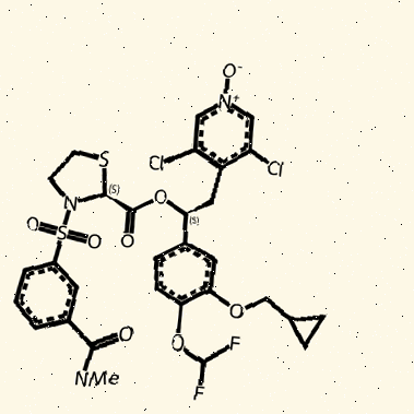 CNC(=O)c1cccc(S(=O)(=O)N2CCS[C@H]2C(=O)O[C@@H](Cc2c(Cl)c[n+]([O-])cc2Cl)c2ccc(OC(F)F)c(OCC3CC3)c2)c1